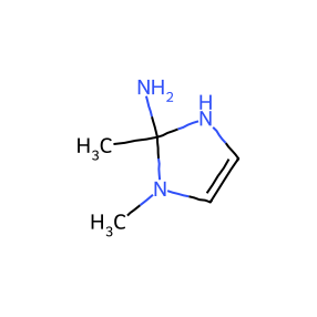 CN1C=CNC1(C)N